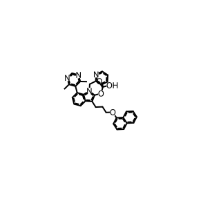 Cc1ncnc(C)c1-c1cccc2c(CCCOc3cccc4ccccc34)c(OC(=O)O)n(Cc3ccccn3)c12